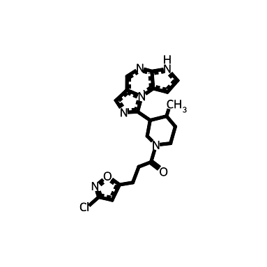 CC1CCN(C(=O)CCc2cc(Cl)no2)CC1c1ncc2cnc3[nH]ccc3n12